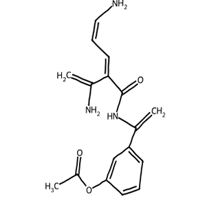 C=C(N)/C(=C\C=C/N)C(=O)NC(=C)c1cccc(OC(C)=O)c1